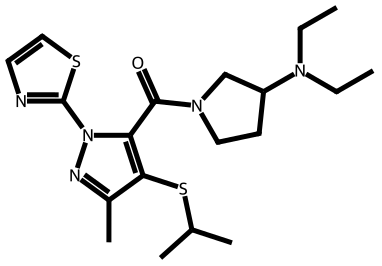 CCN(CC)C1CCN(C(=O)c2c(SC(C)C)c(C)nn2-c2nccs2)C1